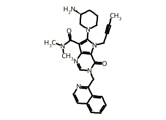 CC#CCn1c(N2CCC[C@H](N)C2)c(C(=O)N(C)C)c2ncn(Cc3nccc4ccccc34)c(=O)c21